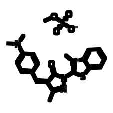 CC1=NN(c2sc3ccccc3[n+]2C)C(=O)C1=Cc1ccc(N(C)C)cc1.COS(=O)(=O)[O-]